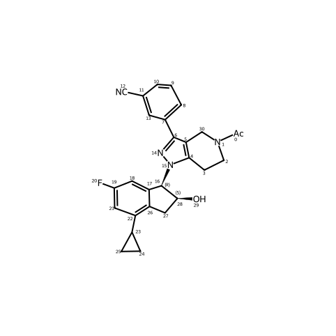 CC(=O)N1CCc2c(c(-c3cccc(C#N)c3)nn2[C@@H]2c3cc(F)cc(C4CC4)c3C[C@@H]2O)C1